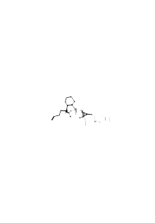 C=CCCC(=O)C1CCCCC1C(=O)OC1C(CC(C)(C)C)[C@@]1(C)C(C)C